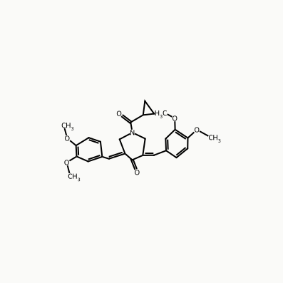 COc1ccc(C=C2CN(C(=O)C3CC3)CC(=Cc3ccc(OC)c(OC)c3)C2=O)cc1OC